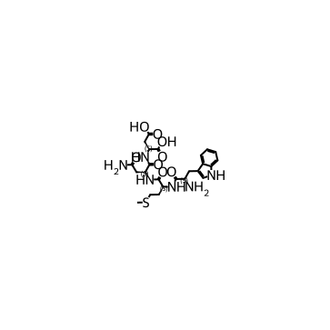 CSCC[C@H](NC(=O)[C@@H](N)Cc1c[nH]c2ccccc12)C(=O)N[C@@H](CC(N)=O)C(=O)N[C@@H](CC(=O)O)C(=O)O